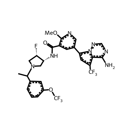 COc1ncc(-c2cc(C(F)(F)F)c3c(N)ncnn23)cc1C(=O)N[C@@H]1CN(C(C)c2cccc(OC(F)(F)F)c2)C[C@@H]1F